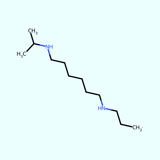 [CH2]CCNCCCCCCNC(C)C